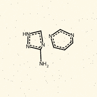 Nc1nc[nH]n1.c1cncnc1